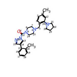 Cc1ccc(CN2CCN(C(=O)n3cc(-c4ccccc4C)cn3)CC2)c(N2CCCC2)c1